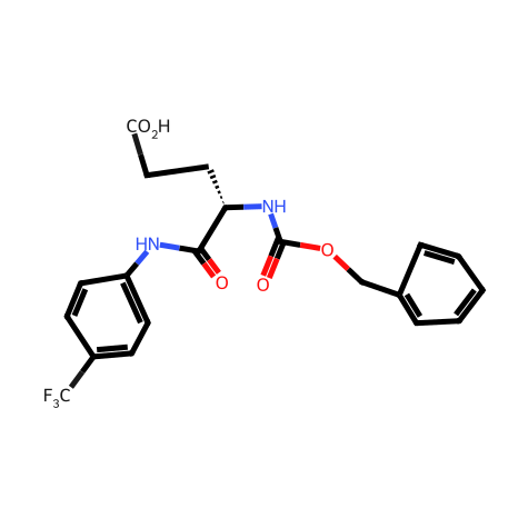 O=C(O)CC[C@H](NC(=O)OCc1ccccc1)C(=O)Nc1ccc(C(F)(F)F)cc1